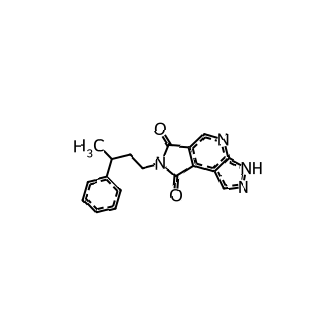 CC(CCN1C(=O)c2cnc3[nH]ncc3c2C1=O)c1ccccc1